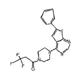 O=C(CC(F)(F)F)N1CCN(c2ncnc3sc(-c4ccccc4)cc23)CC1